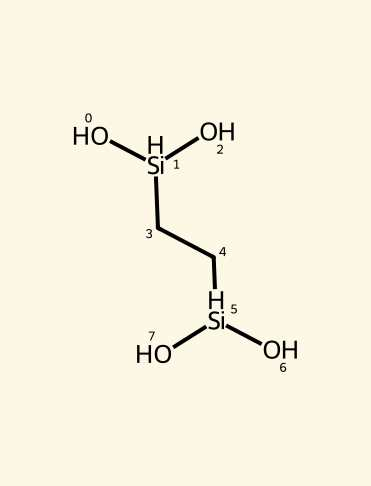 O[SiH](O)CC[SiH](O)O